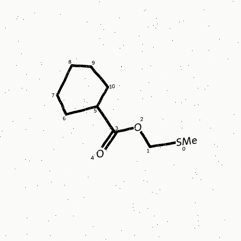 CSCOC(=O)C1CCCCC1